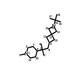 CN1CCC(C(C)(C)CC2CC3(C2)CN(C(C)(C)C)C3)CC1